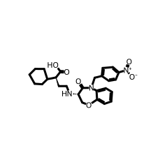 O=C(O)[C@@H](CCN[C@H]1COc2ccccc2N(Cc2ccc([N+](=O)[O-])cc2)C1=O)C1CCCCC1